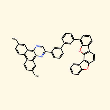 CC(C)(C)c1ccc2c3ccc(C(C)(C)C)cc3c3nc(-c4cccc(-c5cccc(-c6cccc7c6oc6c7ccc7oc8ccccc8c76)c5)c4)cnc3c2c1